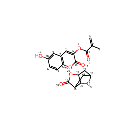 C=C(C)C(=O)Oc1cc2cc(O)ccc2oc1=O.O=C1OC2[CH]C3CC1C2O3